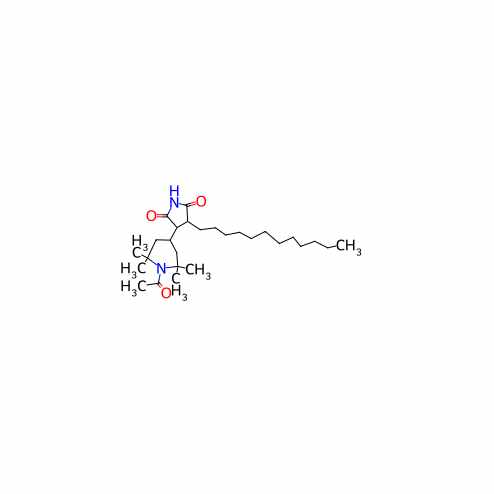 CCCCCCCCCCCCC1C(=O)NC(=O)C1C1CC(C)(C)N(C(C)=O)C(C)(C)C1